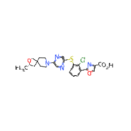 C[C@H]1CC2(CCN(c3cnc(Sc4cccc(-c5nc(C(=O)O)co5)c4Cl)cn3)CC2)CO1